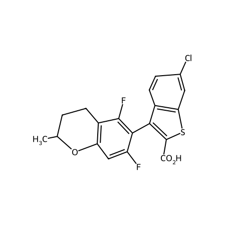 CC1CCc2c(cc(F)c(-c3c(C(=O)O)sc4cc(Cl)ccc34)c2F)O1